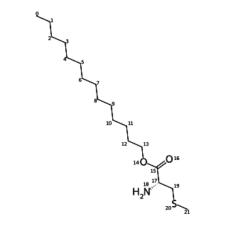 CCCCCCCCCCCCCCOC(=O)[C@@H](N)CSC